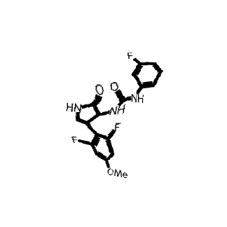 COc1cc(F)c(C2CNC(=O)C2NC(=O)Nc2cccc(F)c2)c(F)c1